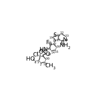 Cc1cc(CO)c(Cl)c(S(=O)(=O)Nc2cccc(-c3csc4ccnc(N)c34)c2F)c1